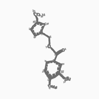 COc1ccc(C(=O)OCc2ccc(C(=O)O)s2)cc1C(C)(C)C